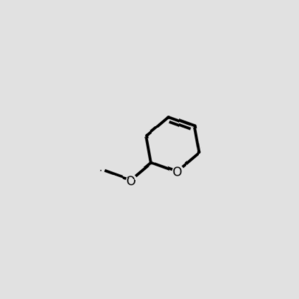 [CH2]OC1CC=CCO1